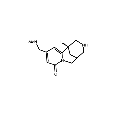 CNCc1cc2n(c(=O)c1)CC1CNC[C@@H]2C1